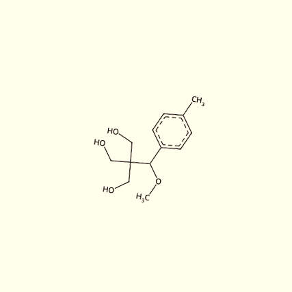 COC(c1ccc(C)cc1)C(CO)(CO)CO